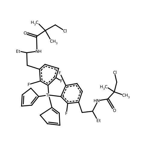 CCC(Cc1ccc(F)[c]([Ti]([C]2=CC=CC2)([C]2=CC=CC2)[c]2c(F)ccc(CC(CC)NC(=O)C(C)(C)CCl)c2F)c1F)NC(=O)C(C)(C)CCl